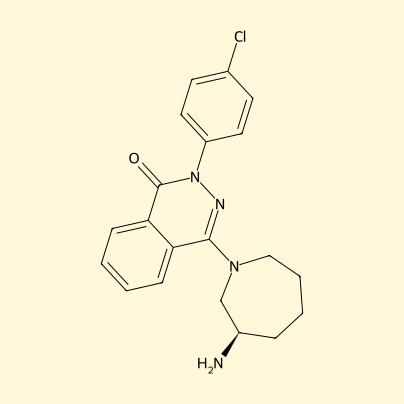 N[C@@H]1CCCCN(c2nn(-c3ccc(Cl)cc3)c(=O)c3ccccc23)C1